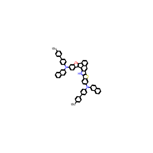 CC(C)(C)c1ccc(-c2ccc(N(c3ccc4ccccc4c3)c3ccc4c5c(oc4c3)-c3cccc4cc6c([nH]c7c8ccc(N(c9ccc(-c%10ccc(C(C)(C)C)cc%10)cc9)c9ccc%10ccccc%10c9)cc8sc67)c-5c34)cc2)cc1